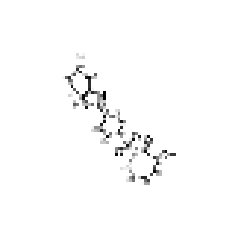 O=C1C(S(=O)(=O)c2ccc(-c3nc4cc(I)ccc4[nH]3)cc2)CCCCN1O